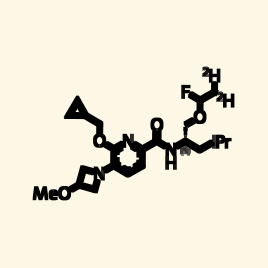 [2H]C([2H])C(F)OC[C@H](CC(C)C)NC(=O)c1ccc(N2CC(OC)C2)c(OCC2CC2)n1